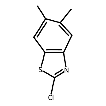 Cc1cc2nc(Cl)sc2cc1C